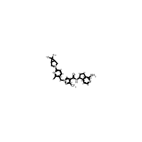 Cc1nc(N2CC3C(C2)C3(F)F)ccc1Cn1cc(C(=O)NC2CCc3c2ccnc3N)c(C(F)(F)F)n1